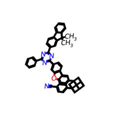 CC1(C)c2ccccc2-c2ccc(-c3nc(-c4ccccc4)nc(-c4ccc5c(c4)oc4ccc(C67CC8CC9CC(c%10ccc(C#N)cc%10)(C6)C987)cc45)n3)cc21